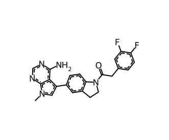 Cn1cc(-c2ccc3c(c2)CCN3C(=O)Cc2ccc(F)c(F)c2)c2c(N)ncnc21